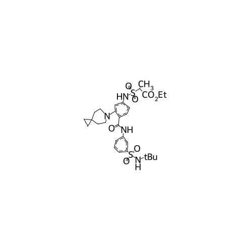 CCOC(=O)C(C)S(=O)(=O)Nc1ccc(C(=O)Nc2cccc(S(=O)(=O)NC(C)(C)C)c2)c(N2CCC3(CC2)CC3)c1